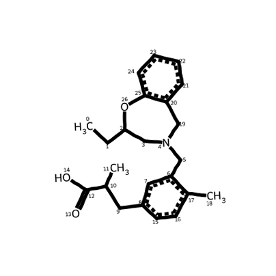 CCC1CN(Cc2cc(CC(C)C(=O)O)ccc2C)Cc2ccccc2O1